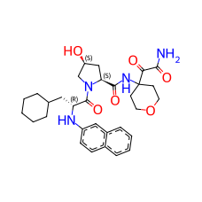 NC(=O)C(=O)C1(NC(=O)[C@@H]2C[C@H](O)CN2C(=O)[C@@H](CC2CCCCC2)Nc2ccc3ccccc3c2)CCOCC1